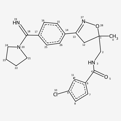 CC1(CNC(=O)c2ccc(Cl)s2)CC(c2ccc(C(=N)N3CCCC3)cc2)=NO1